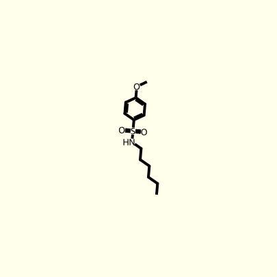 CCCCCCNS(=O)(=O)c1ccc(OC)cc1